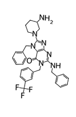 NC1CCCN(c2nc3nc(NCc4ccccc4)n(Cc4cccc(C(F)(F)F)c4)c(=O)c3n2Cc2ccccc2)C1